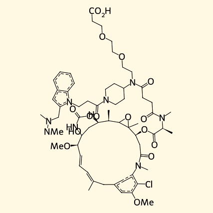 CNN(C)Cc1cc2ccccc2n1CCC(=O)N1CCC(N(CCOCCOCCC(=O)O)C(=O)CCC(=O)N(C)[C@@H](C)C(=O)O[C@H]2CC(=O)N(C)c3cc(cc(OC)c3Cl)C/C(C)=C/C=C/[C@@H](OC)[C@@]3(O)C[C@H](OC(=O)N3)[C@@H](C)C3OC32C)CC1